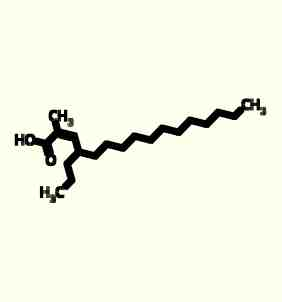 CCCCCCCCCCCCC(C=C(C)C(=O)O)CCC